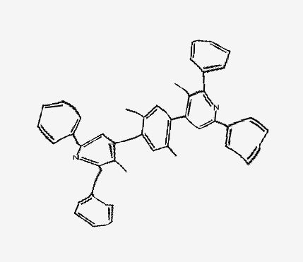 Cc1cc(-c2cc(-c3ccccc3)nc(-c3ccccc3)c2C)c(C)cc1-c1cc(-c2ccccc2)nc(-c2ccccc2)c1C